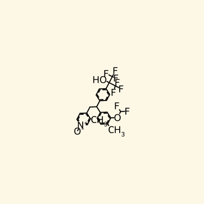 Cc1c[n+]([O-])ccc1CC(c1ccc(C(O)(C(F)(F)F)C(F)(F)F)cc1)c1ccc(C)c(OC(F)F)c1